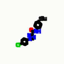 CC(C)(C)c1ccc(NC(=O)c2ncn(-c3ccc(Cl)cc3)n2)cc1